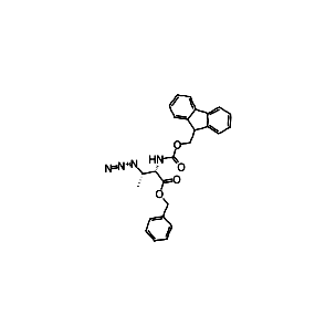 C[C@H](N=[N+]=[N-])[C@H](NC(=O)OCC1c2ccccc2-c2ccccc21)C(=O)OCc1ccccc1